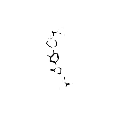 CC(=O)NC[C@H]1CN(c2ccc(N3CCNN(C(=O)N(C)C)CC3)c(F)c2)C(=O)O1